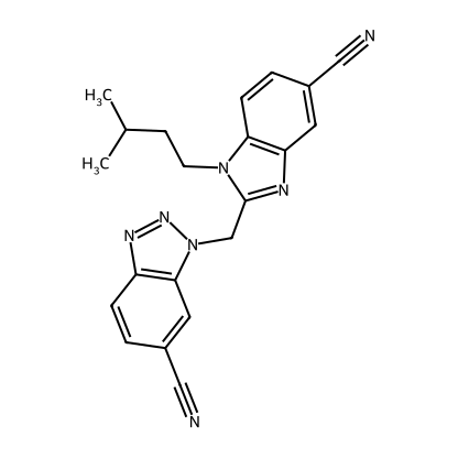 CC(C)CCn1c(Cn2nnc3ccc(C#N)cc32)nc2cc(C#N)ccc21